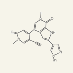 C#Cc1cn(C)c(=O)cc1-c1cn(C)c(=O)c2[nH]c(-c3cnn(C(C)C)c3)cc12